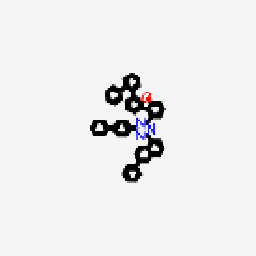 c1ccc(-c2ccc(-c3nc(-c4cccc5cc(-c6ccccc6)ccc45)nc(-c4cccc5oc6c(-c7ccccc7-c7ccccc7)cccc6c45)n3)cc2)cc1